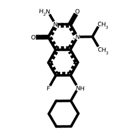 CC(C)n1c(=O)n(N)c(=O)c2cc(F)c(NC3CCCCC3)cc21